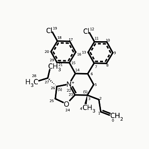 C=CC[C@@]1(C)CC(c2cccc(Cl)c2)C(c2ccc(Cl)cc2)[N+]2=C1OC[C@@H]2C(C)C